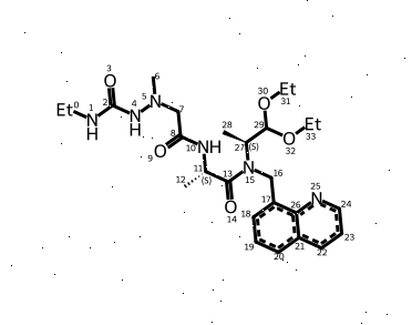 CCNC(=O)NN(C)CC(=O)N[C@@H](C)C(=O)N(Cc1cccc2cccnc12)[C@@H](C)C(OCC)OCC